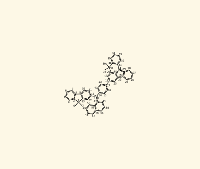 CC1(C)c2ccccc2-c2ccc(N(c3ccc(-c4cc5c6c(c4)c4ccccc4n6-c4ccccc4C5(C)C)cc3)c3cccc4ccccc34)cc21